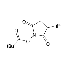 CC(C)C1CC(=O)N(OC(=O)C(C)(C)C)C1=O